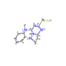 CN(c1ccccc1)c1nc(C=S)nc2ccnn12